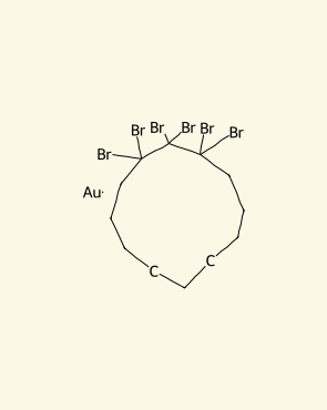 BrC1(Br)CCCCCCCCCC(Br)(Br)C1(Br)Br.[Au]